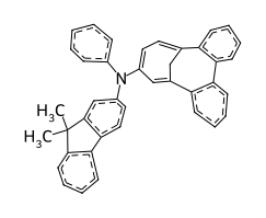 CC1(C)c2ccccc2-c2ccc(N(C3=CC=C4CC(=C3)c3ccccc3-c3ccccc34)c3ccccc3)cc21